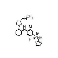 C=NC[C@@H]1CCN([C@H]2CCCC[C@@H]2Nc2cc(F)c(S(=O)(=O)Nc3nccs3)cc2Cl)C1